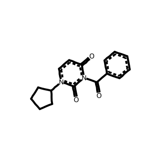 O=C(c1ccccc1)n1c(=O)ccn(C2CCCC2)c1=O